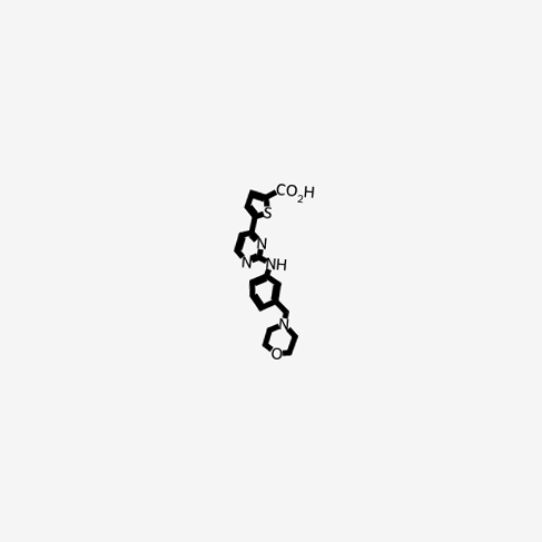 O=C(O)c1ccc(-c2ccnc(Nc3cccc(CN4CCOCC4)c3)n2)s1